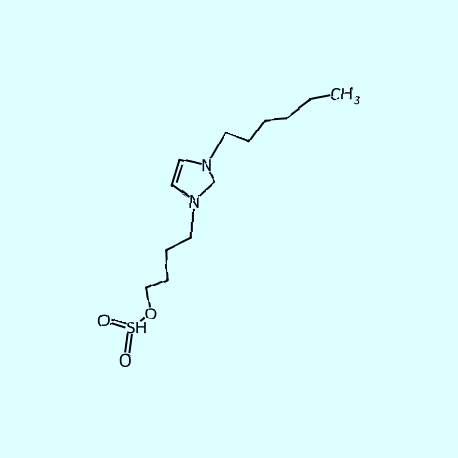 CCCCCCN1C=CN(CCCCO[SH](=O)=O)C1